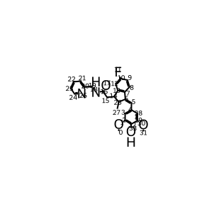 COc1cc(C=C2c3ccc(F)cc3C(CC(=O)NCc3ccccn3)C2C)cc(OC)c1O